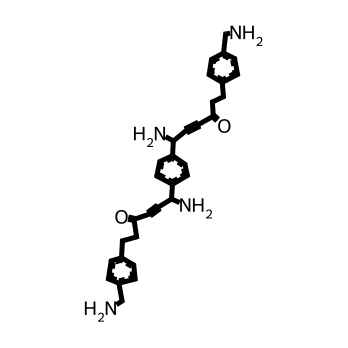 NCc1ccc(CCC(=O)C#CC(N)c2ccc(C(N)C#CC(=O)CCc3ccc(CN)cc3)cc2)cc1